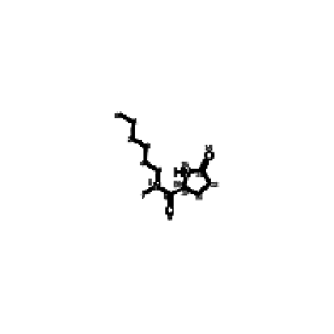 CCCCCCN(C)C(=O)[C@@H]1CCC(=O)N1